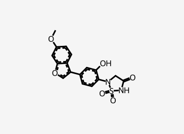 COc1ccc2c(-c3ccc(N4CC(=O)NS4(=O)=O)c(O)c3)coc2c1